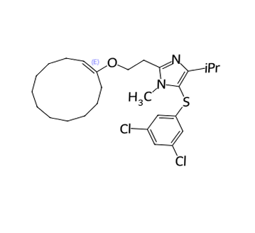 CC(C)c1nc(CCO/C2=C/CCCCCCCCCC2)n(C)c1Sc1cc(Cl)cc(Cl)c1